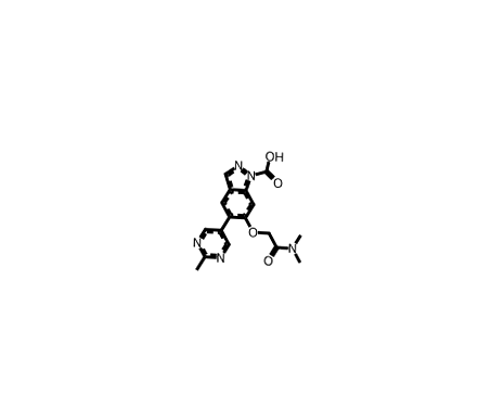 Cc1ncc(-c2cc3cnn(C(=O)O)c3cc2OCC(=O)N(C)C)cn1